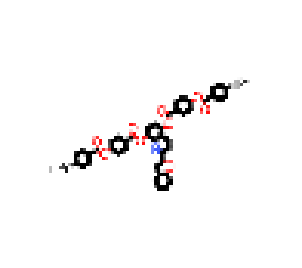 CCCc1ccc(C(=O)Oc2ccc(C(=O)Oc3ccc(OC(=O)c4ccc(OC(=O)c5ccc(CCC)cc5)cc4)c4nc(-c5cc6ccccc6o5)ccc34)cc2)cc1